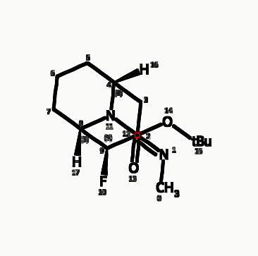 CN=C1C[C@H]2CCC[C@@H]([C@@H]1F)N2C(=O)OC(C)(C)C